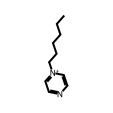 CCCCCC[n+]1ccncc1